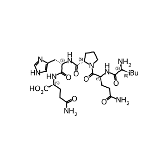 CC[C@H](C)[C@H](N)C(=O)N[C@@H](CCC(N)=O)C(=O)N1CCC[C@H]1C(=O)N[C@@H](Cc1c[nH]cn1)C(=O)N[C@@H](CCC(N)=O)C(=O)O